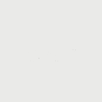 O=C[C@H](O)[C@@H](O)[C@H](O)COC(=O)c1cccc2c1Cc1ccccc1O2